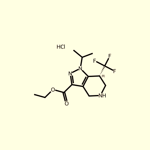 CCOC(=O)c1nn(C(C)C)c2c1CNC[C@H]2C(F)(F)F.Cl